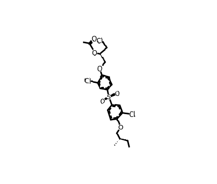 CC[C@H](C)COc1ccc(S(=O)(=O)c2ccc(OC[C@H](CCl)OC(C)=O)c(Cl)c2)cc1Cl